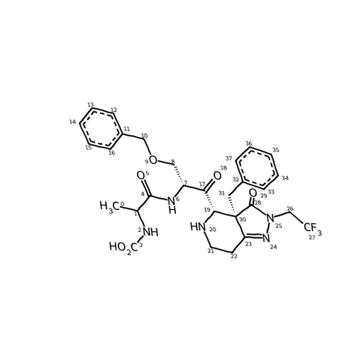 CC(NC(=O)O)C(=O)N[C@H](COCc1ccccc1)C(=O)[C@H]1NCCC2=NN(CC(F)(F)F)C(=O)[C@@]21Cc1ccccc1